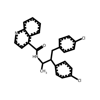 CC(NC(=O)c1ccnc2ccccc12)C(Cc1ccc(Cl)cc1)c1ccc(Cl)cc1